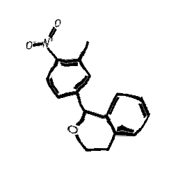 Cc1cc(C2OCCc3ccccc32)ccc1[N+](=O)[O-]